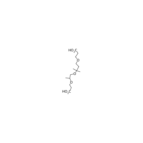 CC(COC(C)(C)CCOCCC(=O)O)OCCC(=O)O